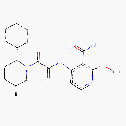 COc1nccc(NC(=O)C(=O)N2C[C@@H](C)CC[C@@H]2C2CCCCC2)c1C(N)=O